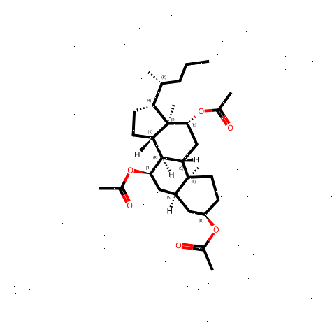 CCC[C@@H](C)[C@H]1CC[C@H]2[C@@H]3[C@H](OC(C)=O)C[C@@H]4C[C@H](OC(C)=O)CC[C@]4(C)[C@H]3C[C@@H](OC(C)=O)[C@]12C